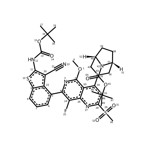 COc1nc(-c2cccc3sc(NC(=O)OC(C)(C)C)c(C#N)c23)c(F)c2nc(S(C)(=O)=O)nc(N3C[C@H]4CC[C@@H](C3)N4C(=O)OC(C)(C)C)c12